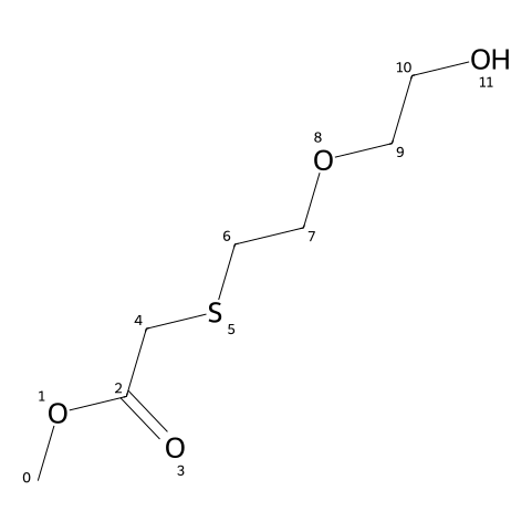 COC(=O)CSCCOCCO